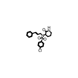 O=C1NCCCC1N(C/C=C/c1ccccc1)S(=O)(=O)c1ccc(Cl)cc1